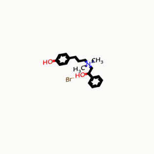 C[N+](C)(CCCc1ccc(O)cc1)CC(O)c1ccccc1.[Br-]